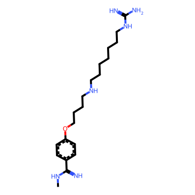 CNC(=N)c1ccc(OCCCCNCCCCCCCNC(=N)N)cc1